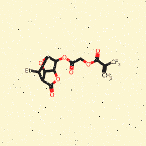 C=C(C(=O)OCC(=O)OC1C2OC3C1OC(=O)C3C2CC)C(F)(F)F